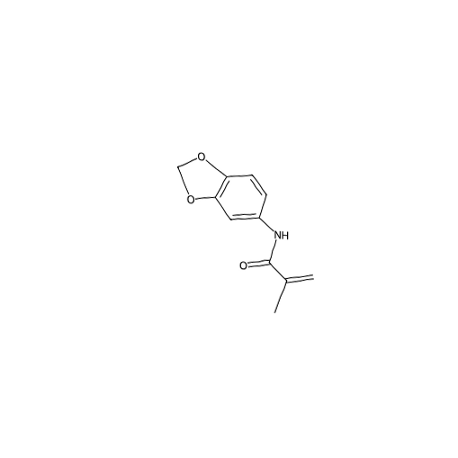 C=C(C)C(=O)Nc1ccc2c(c1)OCO2